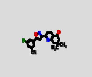 CC1(C)CC(=O)c2ccc(-c3cc(-c4cc(F)cc(C#N)c4)on3)nc2C1